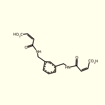 O=C(O)/C=C\C(=O)NCc1cccc(CNC(=O)/C=C\C(=O)O)c1